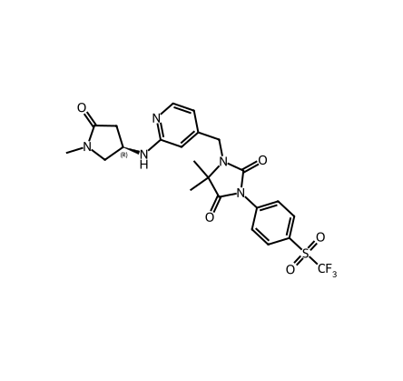 CN1C[C@H](Nc2cc(CN3C(=O)N(c4ccc(S(=O)(=O)C(F)(F)F)cc4)C(=O)C3(C)C)ccn2)CC1=O